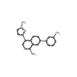 Cc1cccc(-c2ccc3c(-c4ccn(C)n4)cnc(N)c3c2)c1